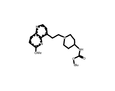 COc1ccc2nccc(CCN3CCC(NC(=O)OC(C)(C)C)CC3)c2n1